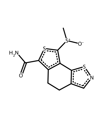 C[S+]([O-])c1sc(C(N)=O)c2c1-c1sncc1CC2